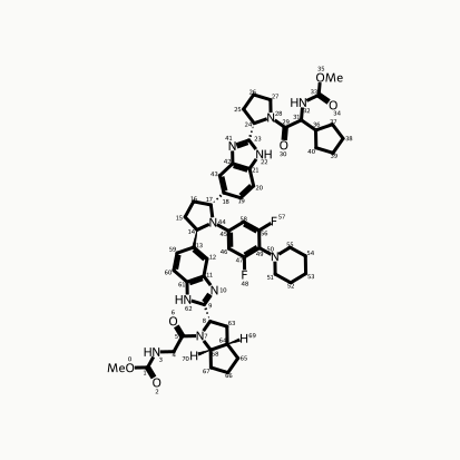 COC(=O)NCC(=O)N1[C@H](c2nc3cc([C@H]4CC[C@H](c5ccc6[nH]c([C@@H]7CCCN7C(=O)C(NC(=O)OC)C7CCCC7)nc6c5)N4c4cc(F)c(N5CCCCC5)c(F)c4)ccc3[nH]2)C[C@@H]2CCC[C@@H]21